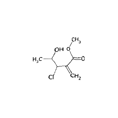 C=C(C(=O)OC)C(Cl)C(C)O